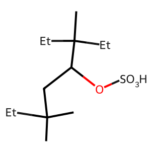 CCC(C)(C)CC(OS(=O)(=O)O)C(C)(CC)CC